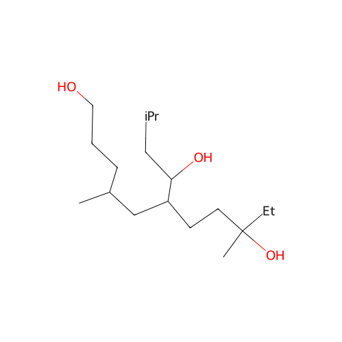 CCC(C)(O)CCC(CC(C)CCCO)C(O)CC(C)C